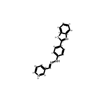 C(=NNc1ccc(-c2nc3ccccc3s2)cc1)c1cccnc1